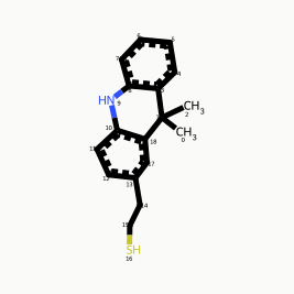 CC1(C)c2ccccc2Nc2ccc(CCS)cc21